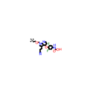 C[Si](C)(C)CCOCn1cc(C=CC#N)c2c(Oc3c(F)cc(NC(=O)O)cc3F)ccnc21